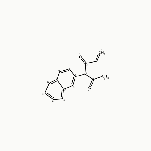 C=CC(=O)C(C(C)=O)c1ccc2ccccc2c1